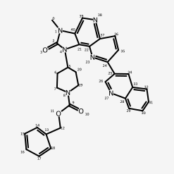 Cn1c(=O)n(C2CCN(C(=O)OCc3ccccc3)CC2)c2c3nc(-c4cnc5ccccc5c4)ccc3ncc21